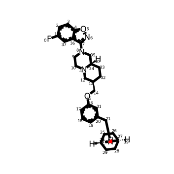 Fc1ccc2onc(N3CCN4C[C@H](COc5cccc(CN6C[C@H]7CC[C@@H](CC7)C6)c5)CC[C@H]4C3)c2c1